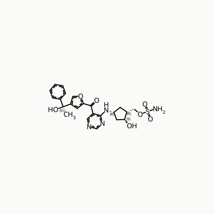 C[C@](O)(c1ccccc1)c1coc(C(=O)c2cncnc2N[C@@H]2C[C@H](COS(N)(=O)=O)[C@@H](O)C2)c1